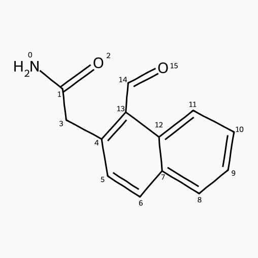 NC(=O)Cc1ccc2ccccc2c1C=O